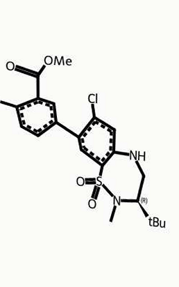 COC(=O)c1cc(-c2cc3c(cc2Cl)NC[C@@H](C(C)(C)C)N(C)S3(=O)=O)ccc1F